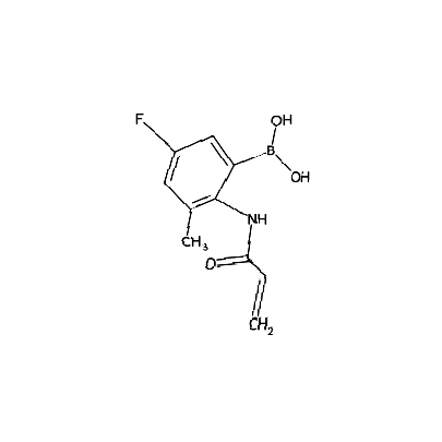 C=CC(=O)Nc1c(C)cc(F)cc1B(O)O